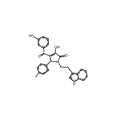 Cc1ccc(C2C(C(=O)c3cccc(O)c3)=C(O)C(=O)N2CCc2c[nH]c3ccccc23)cc1